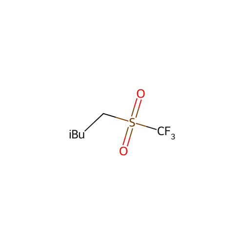 CCC(C)CS(=O)(=O)C(F)(F)F